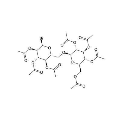 CC(=O)OC[C@H]1O[C@@H](OC[C@H]2O[C@H](Br)[C@H](OC(C)=O)[C@@H](OC(C)=O)[C@@H]2OC(C)=O)[C@H](OC(C)=O)[C@@H](OC(C)=O)[C@@H]1OC(C)=O